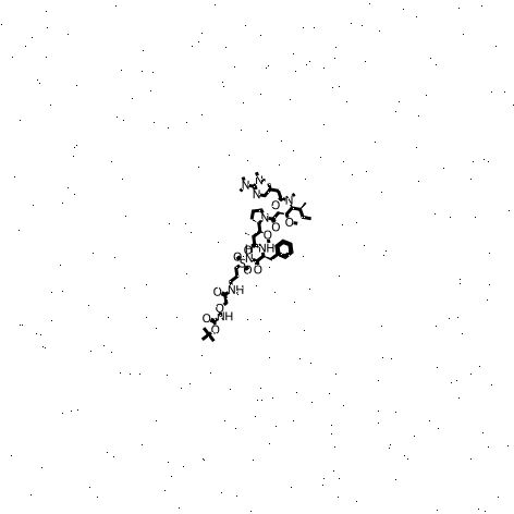 CC[C@H](C)[C@@H]([C@H](CC(=O)N1CCC[C@H]1[C@H](OC)[C@@H](C)C(=O)N[C@@H](Cc1ccccc1)C(=O)NS(=O)(=O)CCCNC(=O)CONC(=O)OC(C)(C)C)OC)N(C)C(=O)CC(C)CN=C(N(C)C)N(C)C